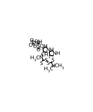 C1CCNC1.C1CCNC1.CN(C)C(=S)SSC(=S)N(C)C.O=S(=O)(O)OS(=O)(=O)O